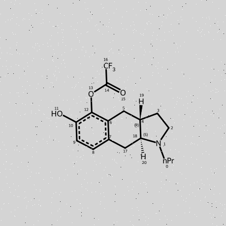 CCCN1CC[C@H]2Cc3c(ccc(O)c3OC(=O)C(F)(F)F)C[C@@H]21